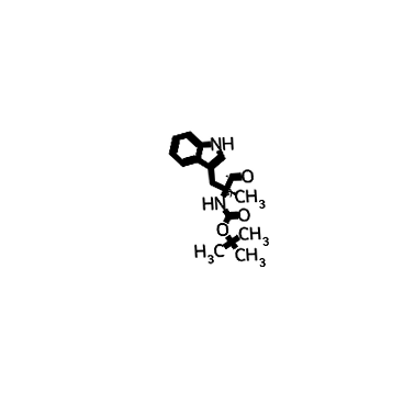 CC(C)(C)OC(=O)N[C@](C)([C]=O)Cc1c[nH]c2ccccc12